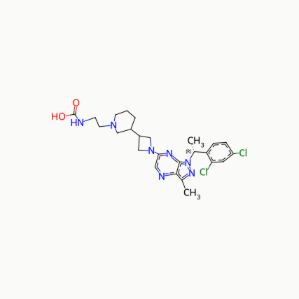 Cc1nn([C@H](C)c2ccc(Cl)cc2Cl)c2nc(N3CC(C4CCCN(CCNC(=O)O)C4)C3)cnc12